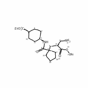 CCOC(=O)[C@H]1CC[C@@H](NC(=O)C2(CC(CN)C(=O)OC(C)(C)C)CCCC2)CC1